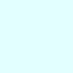 CCCCCCCCCCCCCCCCC[CH]Cl